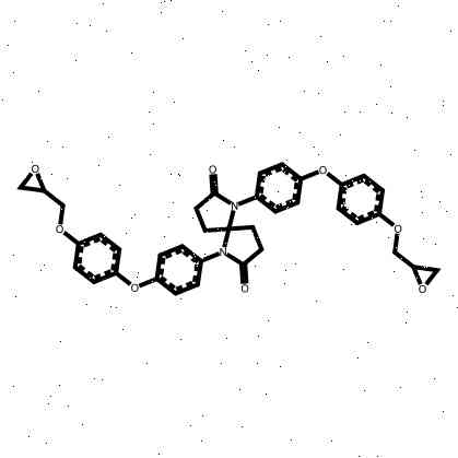 O=C1CCC2(CCC(=O)N2c2ccc(Oc3ccc(OCC4CO4)cc3)cc2)N1c1ccc(Oc2ccc(OCC3CO3)cc2)cc1